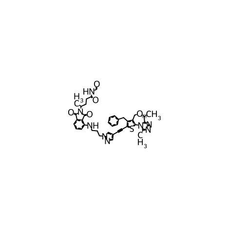 Cc1nnc2n1-c1sc(C#Cc3cnn(CCCNc4cccc5c4C(=O)N(C(C)CCC(=O)NC=O)C5=O)c3)c(Cc3ccccc3)c1CO[C@H]2C